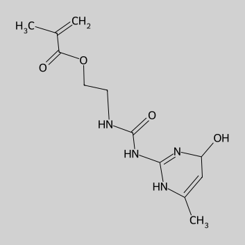 C=C(C)C(=O)OCCNC(=O)NC1=NC(O)C=C(C)N1